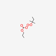 CCCOC(=O)OOOC(C)(C)CC